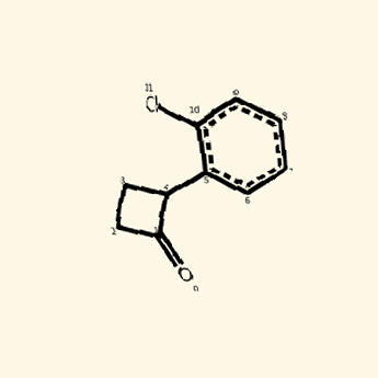 O=C1CCC1c1ccccc1Cl